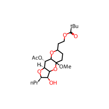 [CH2][CH]C[C@H]1O[C@@H]2C(OC3(OC)CCC(CCOC(=O)C(C)(C)C)OC3[C@H]2OC(C)=O)[C@H]1O